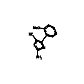 COc1ccccc1-c1nc(N)sc1C#N